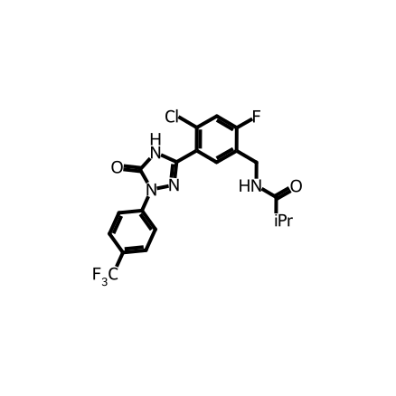 CC(C)C(=O)NCc1cc(-c2nn(-c3ccc(C(F)(F)F)cc3)c(=O)[nH]2)c(Cl)cc1F